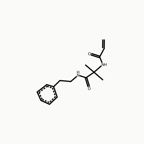 C=CC(=O)NC(C)(C)C(=O)NCCc1ccccc1